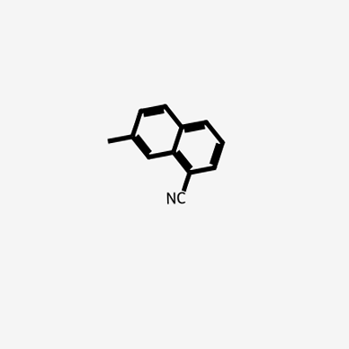 Cc1ccc2cccc(C#N)c2c1